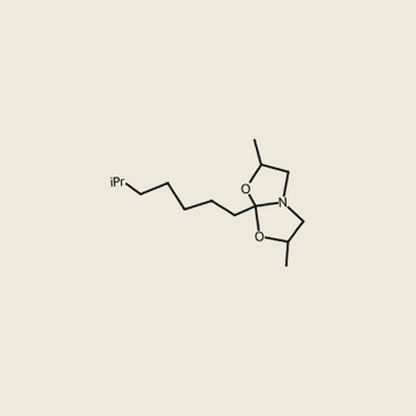 CC(C)CCCCCC12OC(C)CN1CC(C)O2